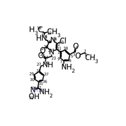 CCOC(=O)c1cc(N)cc(-c2c(Cl)nc(NC(C)C)c(=O)n2CC(=O)NCc2ccc(/C(N)=N/O)cc2)c1